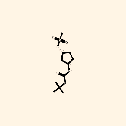 CC(C)(C)OC(=O)N[C@@H]1CC[C@@H](OS(C)(=O)=O)C1